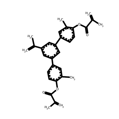 C=C(C)C(=O)Oc1ccc(-c2cc(C(=C)C)cc(-c3ccc(OC(=O)C(=C)C)c(C)c3)c2)cc1C